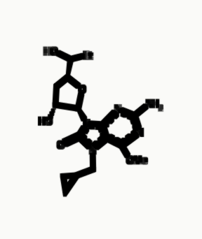 CCC(O)[C@@H]1C[C@@H](O)[C@H](n2c(=O)n(CC3CC3)c3c(OC)nc(N)nc32)O1